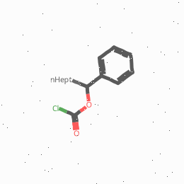 CCCCCCCC(OC(=O)Cl)c1ccccc1